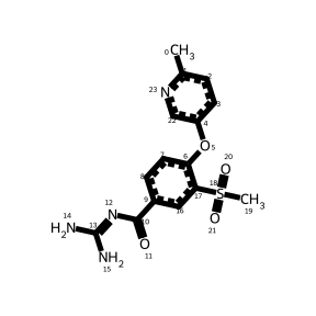 Cc1ccc(Oc2ccc(C(=O)N=C(N)N)cc2S(C)(=O)=O)cn1